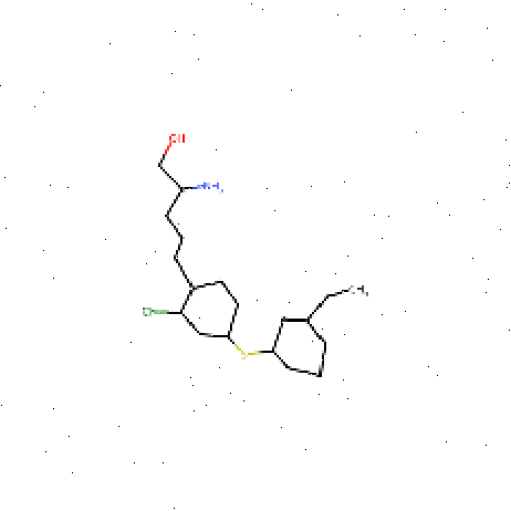 CCC1CCCC(SC2CCC(CCCC(N)CO)C(Cl)C2)C1